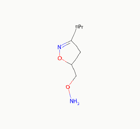 CCCC1=NOC(CON)C1